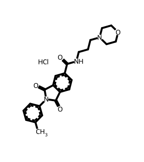 Cc1cccc(N2C(=O)c3ccc(C(=O)NCCCN4CCOCC4)cc3C2=O)c1.Cl